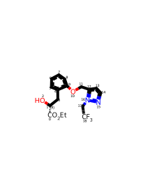 CCOC(=O)[C@H](O)Cc1ccccc1OCc1ccnn1CC(F)(F)F